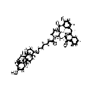 CC12CC[C@H]3C(CC[C@H]4C[C@H](O)CCC43C)[C@@H]1CCC2OCCCCCC(=O)N1CCN(C(=O)c2cc(Cc3n[nH]c(=O)c4ccccc34)ccc2F)CC1